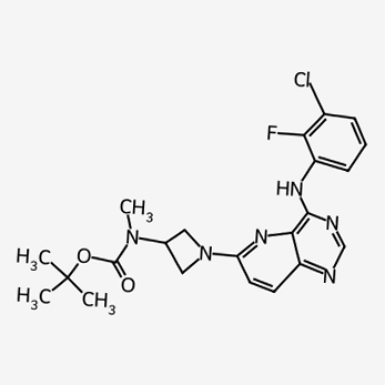 CN(C(=O)OC(C)(C)C)C1CN(c2ccc3ncnc(Nc4cccc(Cl)c4F)c3n2)C1